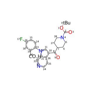 CC(C)(C)OC(=O)N1CCC(C(=O)c2cn(-c3ccc(F)cc3C(=O)O)c3cnccc23)CC1